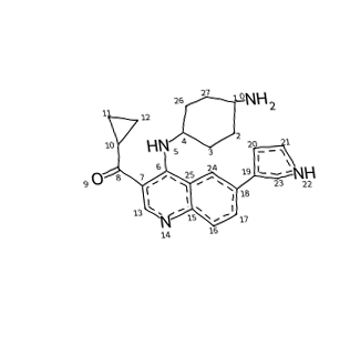 NC1CCC(Nc2c(C(=O)C3CC3)cnc3ccc(-c4cc[nH]c4)cc23)CC1